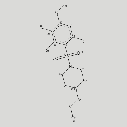 COc1cc(C)c(S(=O)(=O)N2CCN(CC[O])CC2)c(C)c1C